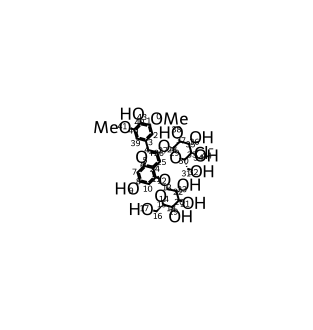 COc1cc(-c2[o+]c3cc(O)cc(O[C@@H]4O[C@H](CO)[C@@H](O)C(O)[C@H]4O)c3cc2O[C@H]2O[C@@H](CO)[C@H](O)[C@@H](O)[C@@H]2O)cc(OC)c1O.[Cl-]